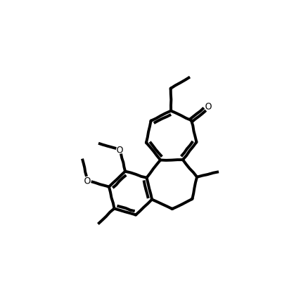 CCc1ccc2c(cc1=O)C(C)CCc1cc(C)c(OC)c(OC)c1-2